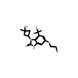 CC1(O)CC(n2c(=O)[nH]c3cc(OCCBr)cc(C(F)(F)F)c32)C1